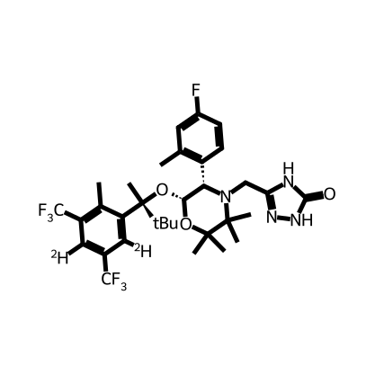 [2H]c1c(C(F)(F)F)c([2H])c([C@](C)(O[C@H]2OC(C)(C)C(C)(C)N(Cc3n[nH]c(=O)[nH]3)[C@H]2c2ccc(F)cc2C)C(C)(C)C)c(C)c1C(F)(F)F